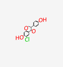 O=C1c2cc(Cl)c(O)cc2OCC1c1ccc(O)cc1